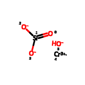 O=[Si]([O-])[O-].[Cr+3].[OH-]